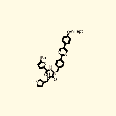 CCCCCCCOc1ccc(-c2cnc(-c3ccc(C[C@H](NC(=O)c4ccc(C(C)(C)C)s4)C(=O)NCC4CCNC4)cc3)nc2)cc1